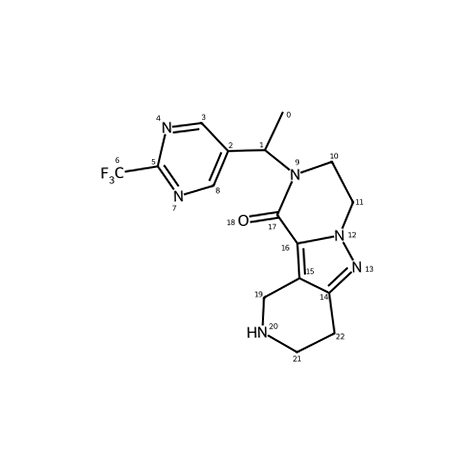 CC(c1cnc(C(F)(F)F)nc1)N1CCn2nc3c(c2C1=O)CNCC3